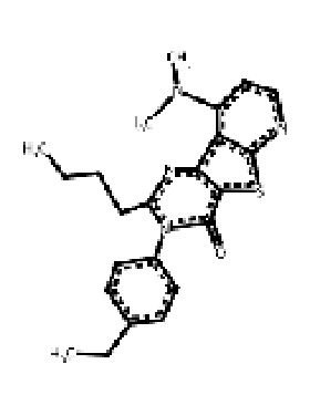 CCCCc1nc2c(sc3nccc(N(C)C)c32)c(=O)n1-c1ccc(CC)cc1